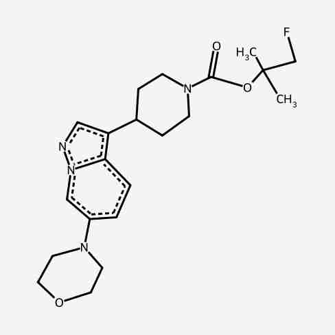 CC(C)(CF)OC(=O)N1CCC(c2cnn3cc(N4CCOCC4)ccc23)CC1